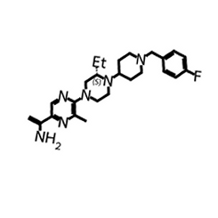 C=C(N)c1cnc(N2CCN(C3CCN(Cc4ccc(F)cc4)CC3)[C@@H](CC)C2)c(C)n1